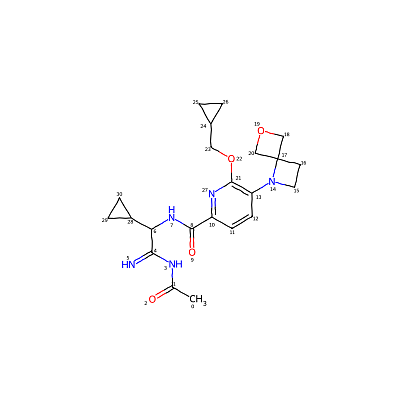 CC(=O)NC(=N)C(NC(=O)c1ccc(N2CCC23COC3)c(OCC2CC2)n1)C1CC1